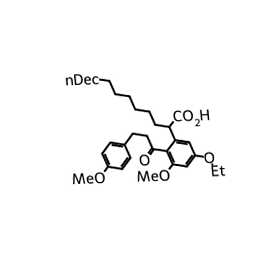 CCCCCCCCCCCCCCCCC(C(=O)O)c1cc(OCC)cc(OC)c1C(=O)CCc1ccc(OC)cc1